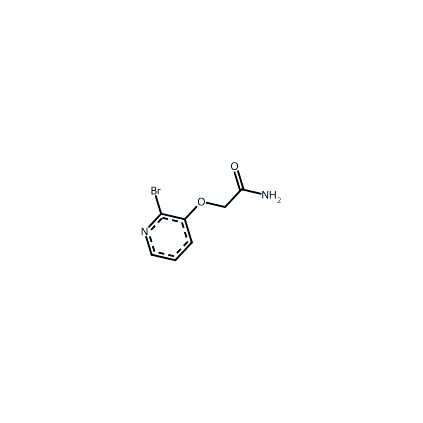 NC(=O)COc1cccnc1Br